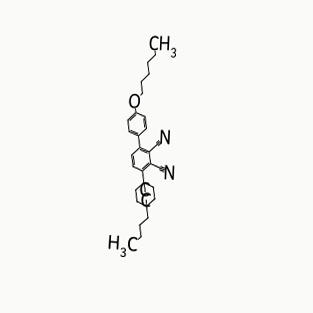 CCCCCCOc1ccc(-c2ccc(C34CCC(CCCC)(CC3)CC4)c(C#N)c2C#N)cc1